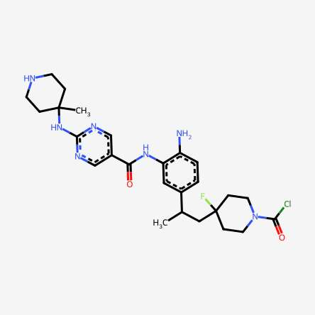 CC(CC1(F)CCN(C(=O)Cl)CC1)c1ccc(N)c(NC(=O)c2cnc(NC3(C)CCNCC3)nc2)c1